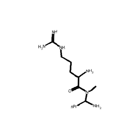 CCCC(N)N(C)C(=O)C(N)CCCNC(=N)N